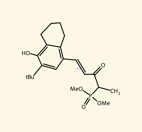 COP(=O)(OC)C(C)C(=O)/C=C/c1cc(C(C)(C)C)c(O)c2c1CCCC2